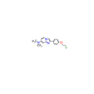 CN(C)c1ccn2cc(-c3ccc(OCCF)cc3)nc2c1